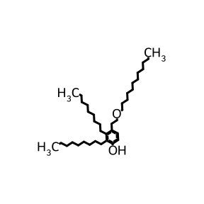 CCCCCCCCCCCCOCCc1ccc(O)c(CCCCCCCCC)c1CCCCCCCCC